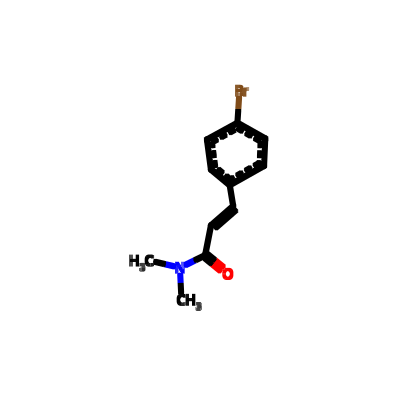 CN(C)C(=O)/C=C/c1ccc(Br)cc1